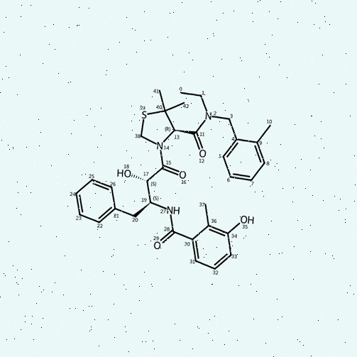 CCN(Cc1ccccc1C)C(=O)[C@H]1N(C(=O)[C@@H](O)[C@H](Cc2ccccc2)NC(=O)c2cccc(O)c2C)CSC1(C)C